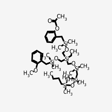 CCCC[Si](C)(C)O[Si](C)(C)C[Si](C)(C)OC[Si](CC)(CO[Si](C)(C)Cc1ccccc1OC)CO[Si](C)(C)Cc1ccccc1OC(C)=O